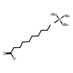 CCCCCCCCCC(=O)[O-].CCCC[N+](C)(CCCC)CCCC